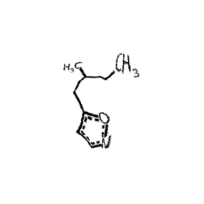 CCC(C)Cc1ccno1